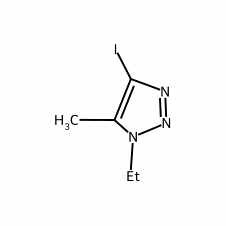 CCn1nnc(I)c1C